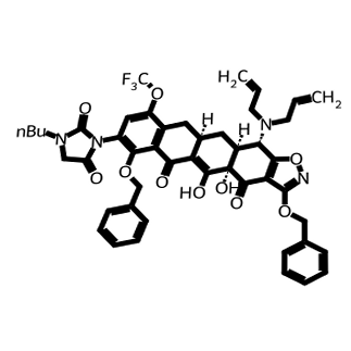 C=CCN(CC=C)[C@@H]1c2onc(OCc3ccccc3)c2C(=O)[C@@]2(O)C(O)=C3C(=O)c4c(c(OC(F)(F)F)cc(N5C(=O)CN(CCCC)C5=O)c4OCc4ccccc4)C[C@H]3C[C@@H]12